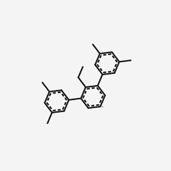 CCc1c(-c2cc(C)cc(C)c2)c[c]cc1-c1cc(C)cc(C)c1